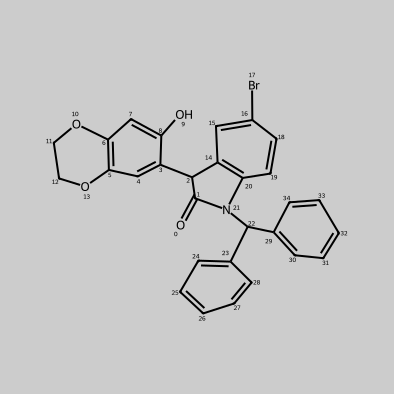 O=C1C(c2cc3c(cc2O)OCCO3)c2cc(Br)ccc2N1C(c1ccccc1)c1ccccc1